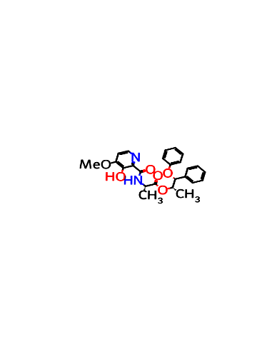 COc1ccnc(C(=O)N[C@@H](C)C(=O)O[C@@H](C)[C@H](Oc2ccccc2)c2ccccc2)c1O